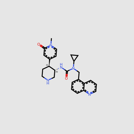 Cn1ccc([C@@H]2CCNC[C@H]2NC(=O)N(Cc2cccc3ncccc23)C2CC2)cc1=O